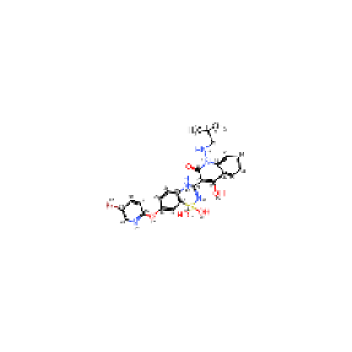 CC(C)CNn1c(=O)c(C2=NS(O)(O)c3cc(Oc4ccc(Br)cn4)ccc3N2)c(O)c2ccccc21